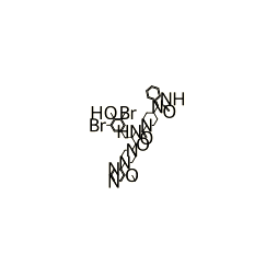 COc1cncnc1N1CCN(C(=O)[C@@H](Cc2cc(Br)c(O)c(Br)c2)NC(=O)N2CCC(n3c(=O)[nH]c4ccccc43)CC2)CC1